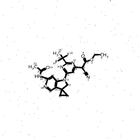 CCOC(=O)C(C#N)c1cc(N2CC3(CC3)c3cnc(NC(C)=O)cc32)nc(C(C)(F)F)n1